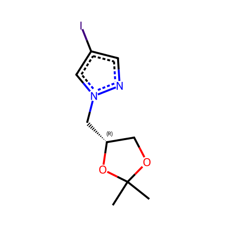 CC1(C)OC[C@@H](Cn2cc(I)cn2)O1